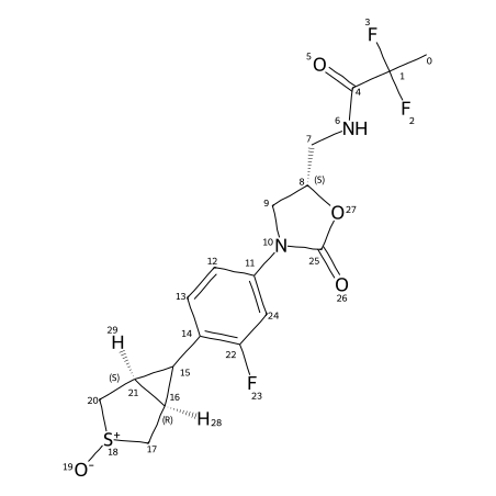 CC(F)(F)C(=O)NC[C@H]1CN(c2ccc(C3[C@H]4C[S+]([O-])C[C@@H]34)c(F)c2)C(=O)O1